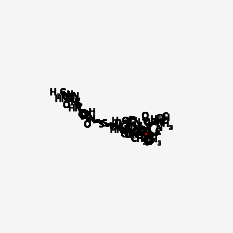 CC[C@]1(O)C[C@H]2CN(CCc3c([nH]c4ccccc34)[C@@](COC=O)(c3cc4c(cc3OC)N(C)[C@H]3[C@](O)(C(=O)NNC(=O)OCCSSCCNC(=O)c5ccc(NCc6cnc7nc(C)[nH]c(=O)c7n6)cc5)[C@H](O)[C@]5(CC)C=CCN6CC[C@]43[C@@H]65)C2)C1